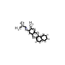 Bc1cc(/N=C/N(C)CC)c(C)nc1Oc1cccc2ccccc12